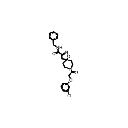 O=C(NCc1ccccc1)C1=NOC2(CCN(C(=O)COc3cccc(Cl)c3)CC2)C1